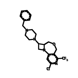 FC(F)(F)c1nc(Cl)cc2c1COCC1C(N3CCN(Cc4ccccc4)CC3)CN21